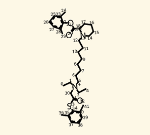 CC[N+](CC)(CCCCCCCCN1CCCC[C@@H]1C(=O)Oc1c(C)cccc1C)CC(=O)Sc1c(C)cccc1C